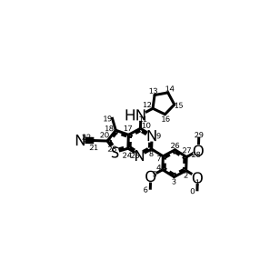 COc1cc(OC)c(-c2nc(NC3CCCC3)c3c(C)c(C#N)sc3n2)cc1OC